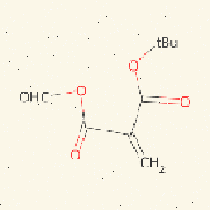 C=C(C(=O)OC=O)C(=O)OC(C)(C)C